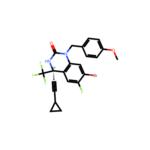 COc1ccc(CN2C(=O)N[C@](C#CC3CC3)(C(F)(F)F)c3cc(F)c(Br)cc32)cc1